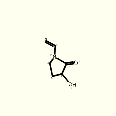 C=CN1CCC(O)C1=O